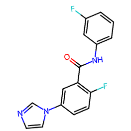 O=C(Nc1cccc(F)c1)c1cc(-n2ccnc2)ccc1F